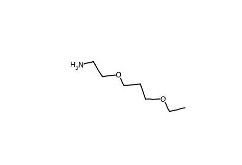 CCOCCCOCCN